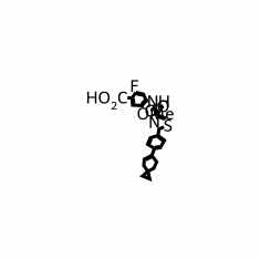 COc1cc(C(=O)O)c(F)cc1NS(=O)(=O)c1csc(-c2ccc(C3=CCC4(CC3)CC4)cc2)n1